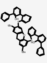 CC(C)(C)c1cc2c(c(Sc3ccccc3-c3cccc(-c4ccccc4)c3O)c1)Oc1cc(Sc3ccccc3-c3cccc(-c4ccccc4)c3O)c(C(C)(C)C)cc1C2